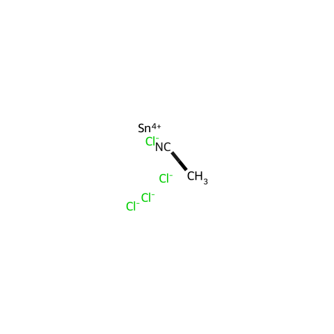 CC#N.[Cl-].[Cl-].[Cl-].[Cl-].[Sn+4]